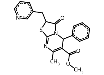 COC(=O)C1=C(C)N=C2SC(Cc3cccnc3)C(=O)N2C1c1ccccc1